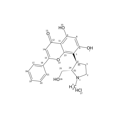 CN1CC[C@H](c2c(O)cc(O)c3c(=O)cc(-c4ccccc4)oc23)[C@H]1CO.Cl